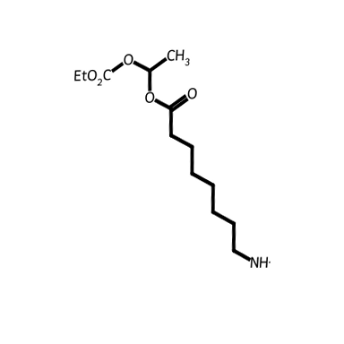 CCOC(=O)OC(C)OC(=O)CCCCCCC[NH]